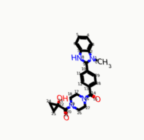 CN1c2ccccc2NC1c1ccc(C(=O)N2CCN(C(=O)C3(O)CC3)CC2)cc1